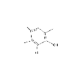 Cc1cc(C)c(O)c(Cl)c1C